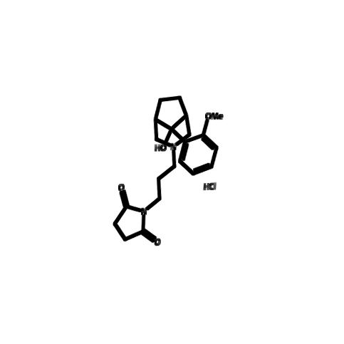 COc1ccccc1C1(O)C2CCC1CN(CCCN1C(=O)CCC1=O)C2.Cl